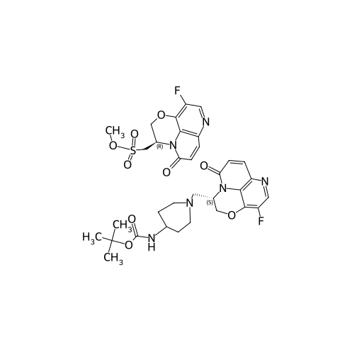 CC(C)(C)OC(=O)NC1CCN(C[C@H]2COc3c(F)cnc4ccc(=O)n2c34)CC1.COS(=O)(=O)C[C@H]1COc2c(F)cnc3ccc(=O)n1c23